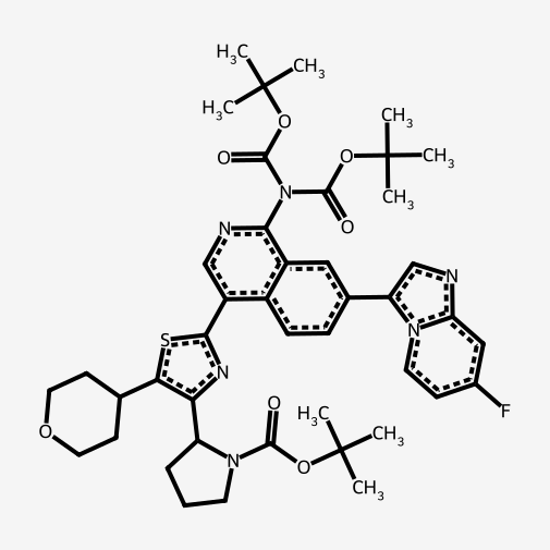 CC(C)(C)OC(=O)N(C(=O)OC(C)(C)C)c1ncc(-c2nc(C3CCCN3C(=O)OC(C)(C)C)c(C3CCOCC3)s2)c2ccc(-c3cnc4cc(F)ccn34)cc12